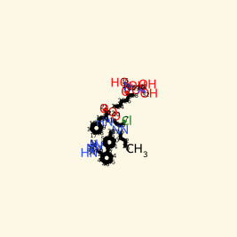 CCCCc1nc(Cl)c(C(=O)NC(Cc2ccccc2)C(=O)OCCCCC(CON(O)O)ON(O)O)n1Cc1ccc(-c2ccccc2-c2nnn[nH]2)cc1